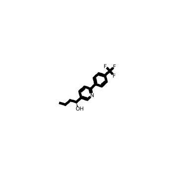 CCC[C@@H](O)c1ccc(-c2ccc(C(F)(F)F)cc2)nc1